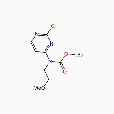 COCCN(C(=O)OC(C)(C)C)c1ccnc(Cl)n1